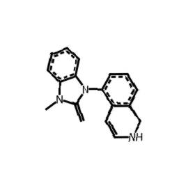 C=C1N(C)c2ccccc2N1c1cccc2c1C=CNC2